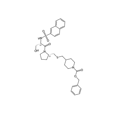 O=C(OCc1ccccc1)N1CCC(CSC[C@@H]2CCCN2C(=O)[C@H](CO)NS(=O)(=O)c2ccc3ccccc3c2)CC1